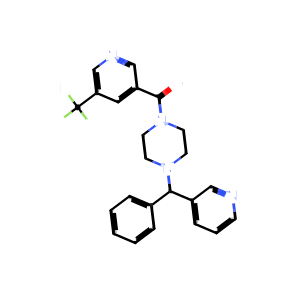 O=C(c1cncc(C(F)(F)F)c1)N1CCN(C(c2ccccc2)c2cccnc2)CC1